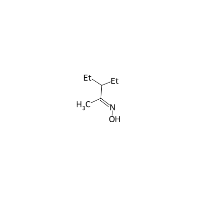 CCC(CC)C(C)=NO